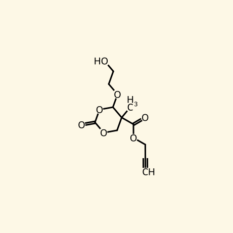 C#CCOC(=O)C1(C)COC(=O)OC1OCCO